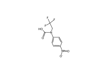 O=C(O)N(CC(F)(F)F)c1ccc([N+](=O)[O-])cc1